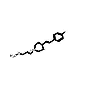 COCCC[SiH]1CCC(CCc2ccc(F)cc2)CC1